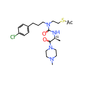 CC(=O)SCCN(CCCc1ccc(Cl)cc1)C(=O)N[C@@H](C)C(=O)N1CCN(C)CC1